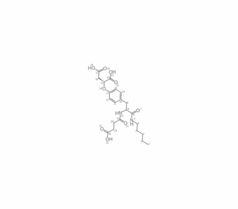 CCCCCNC(=O)C(Cc1ccc(O[C@@H](CC(=O)O)C(=O)O)cc1)NC(=O)CCC(=O)O